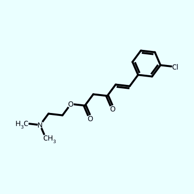 CN(C)CCOC(=O)CC(=O)C=Cc1cccc(Cl)c1